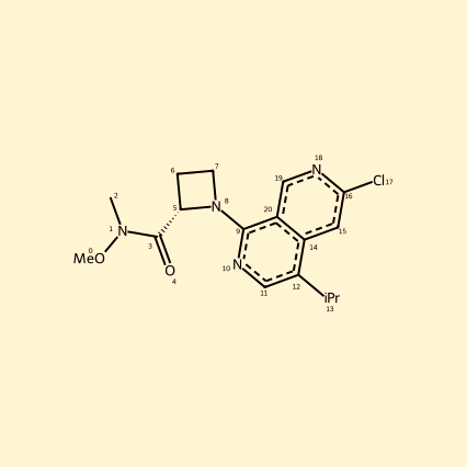 CON(C)C(=O)[C@@H]1CCN1c1ncc(C(C)C)c2cc(Cl)ncc12